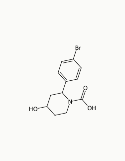 O=C(O)N1CCC(O)CC1c1ccc(Br)cc1